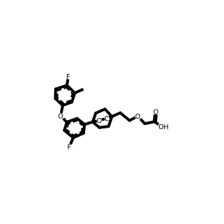 Cc1cc(Oc2cc(F)cc(C34CCC(CCOCC(=O)O)(CC3)CO4)c2)ccc1F